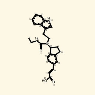 CCNC(=O)N(CCc1c[nH]c2ccccc12)C1CCc2cc(C=CC(=O)O)ccc21